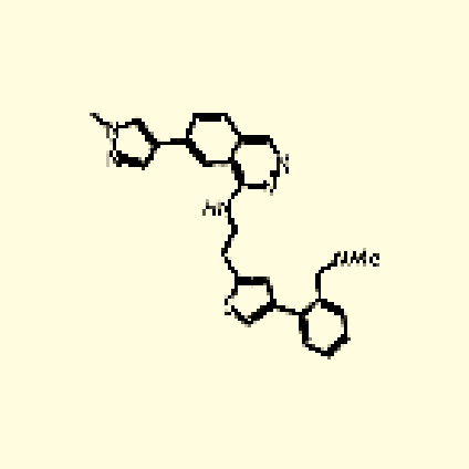 CNCc1ccccc1-c1csc(CCNc2nncc3ccc(-c4cnn(C)c4)cc23)c1